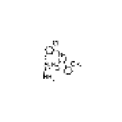 C[C@@H](CCCCN)c1ccc(Cl)c(CN2C=C(C3(N)CC3)C(c3ccccc3OC3CC3)=CC2)c1